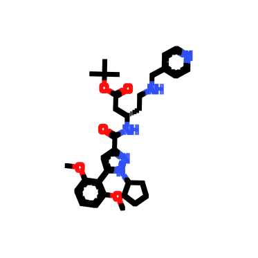 COc1cccc(OC)c1-c1cc(C(=O)N[C@@H](CCNCc2ccncc2)CC(=O)OC(C)(C)C)nn1C1CCCC1